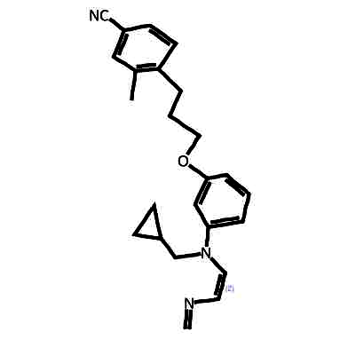 C=N/C=C\N(CC1CC1)c1cccc(OCCCc2ccc(C#N)cc2C)c1